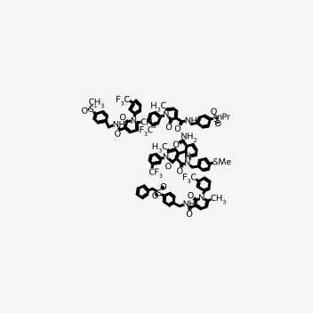 CCCS(=O)(=O)c1ccc(CNC(=O)c2ccc(C)n(-c3cccc(C(F)(F)F)c3)c2=O)cc1.CSc1ccc(CNC(=O)c2c(C3N=CC=CC3C(N)=O)cc(C)n(-c3cccc(C(F)(F)F)c3)c2=O)cc1.Cc1ccc(C(=O)NCc2ccc(S(=O)(=O)Cc3ccccc3)cc2)c(=O)n1-c1cccc(C(F)(F)F)c1.Cc1ccc(C(=O)NCc2ccc([S+](C)[O-])cc2)c(=O)n1-c1cccc(C(F)(F)F)c1